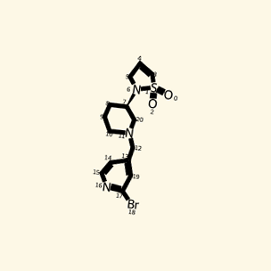 O=S1(=O)C=CCN1[C@@H]1CCCN(Cc2ccnc(Br)c2)C1